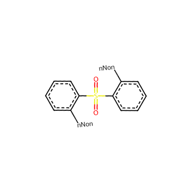 CCCCCCCCCc1ccccc1S(=O)(=O)c1ccccc1CCCCCCCCC